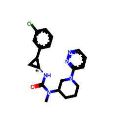 CN(C(=O)N[C@@H]1CC1c1cccc(Cl)c1)C1CCCN(c2cccnn2)C1